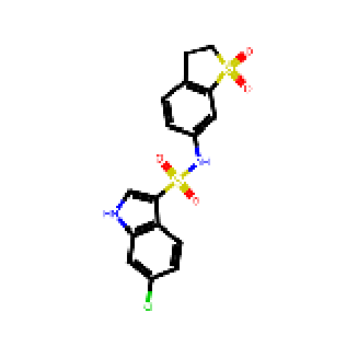 O=S1(=O)CCc2ccc(NS(=O)(=O)c3c[nH]c4cc(Cl)ccc34)cc21